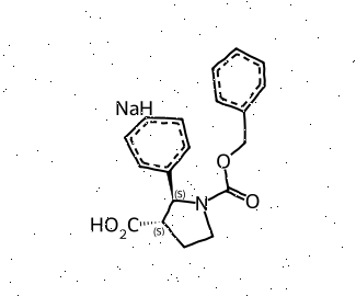 O=C(O)[C@H]1CCN(C(=O)OCc2ccccc2)[C@@H]1c1ccccc1.[NaH]